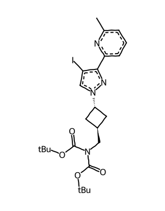 Cc1cccc(-c2nn([C@H]3C[C@H](CN(C(=O)OC(C)(C)C)C(=O)OC(C)(C)C)C3)cc2I)n1